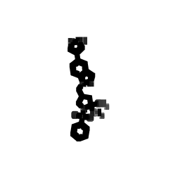 CC1(C)CC(Cn2ncc3cc(-c4cn[nH]c4)ccc32)CN1S(=O)(=O)c1ccccc1